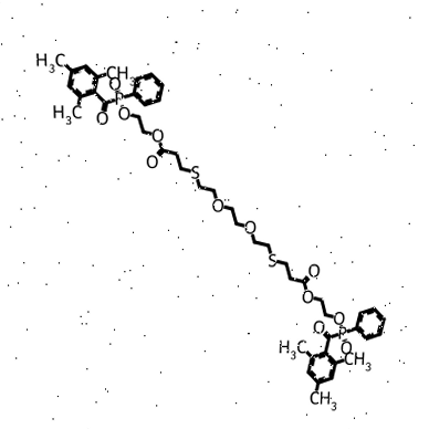 Cc1cc(C)c(C(=O)P(=O)(OCCOC(=O)CCSCCOCCOCCSCCC(=O)OCCOP(=O)(C(=O)c2c(C)cc(C)cc2C)c2ccccc2)c2ccccc2)c(C)c1